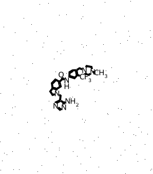 CN1CCN(Cc2ccc(NC(=O)c3ccc4c(c3)N(Cc3cncnc3N)CC4)cc2C(F)(F)F)CC1